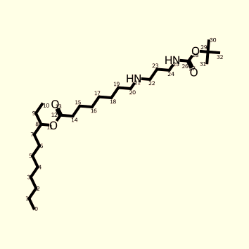 CCCCCCCCC(CC)OC(=O)CCCCCCCNCCCNC(=O)OC(C)(C)C